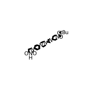 CC(C)(C)OC(=O)N1CCC(N2CC(N3CCN(c4ccc(N5CCC(=O)NC5=O)cc4)CC3)C2)CC1